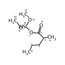 CCCC(C)C(=O)O[SiH](OC)OC